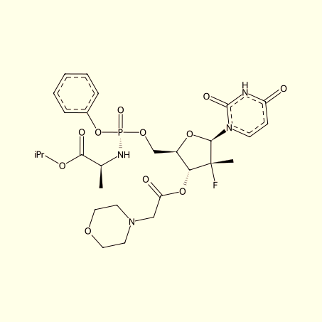 CC(C)OC(=O)[C@H](C)N[P@](=O)(OC[C@H]1O[C@@H](n2ccc(=O)[nH]c2=O)[C@](C)(F)[C@@H]1OC(=O)CN1CCOCC1)Oc1ccccc1